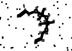 C=CCO[Si](C)(C)O[Si](C)(C)OCC=C